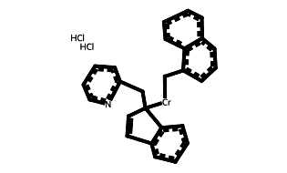 C1=C[C](Cc2ccccn2)([Cr][CH2]c2cccc3ccccc23)c2ccccc21.Cl.Cl